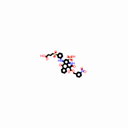 O=C(O)CCCS(=O)(=O)c1cccc(Nc2cc(S(=O)(=O)O)c3[nH]c(=O)c(C(=O)OCc4cccc([N+](=O)[O-])c4)c4c3c2C(=O)c2ccccc2-4)c1